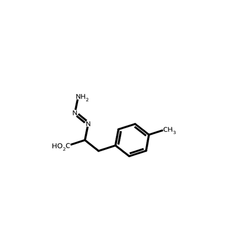 Cc1ccc(CC(N=NN)C(=O)O)cc1